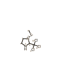 CSN1CCNC1C(Cl)(Cl)Cl